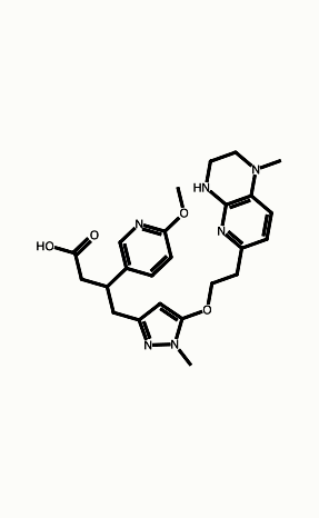 COc1ccc(C(CC(=O)O)Cc2cc(OCCc3ccc4c(n3)NCCN4C)n(C)n2)cn1